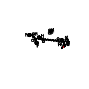 CCCCC1(CC)CS(=O)(=O)c2ccc(N(C)C)cc2C(c2cccc(NC(=O)CCCCCCCCCCC(=O)NCc3cccc(C4C(CCC(O)c5ccc(F)cc5)C(=O)N4c4ccc(F)cc4)c3)c2)C1O.O=C(O)C(F)(F)F